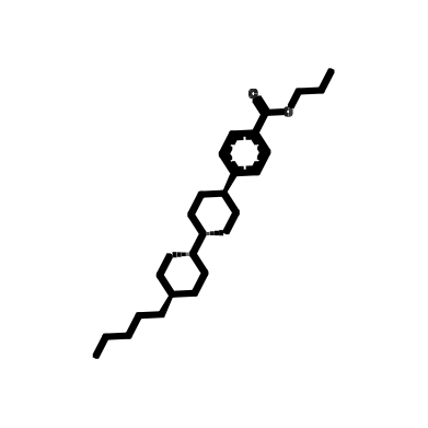 CCCCC[C@H]1CC[C@H]([C@H]2CC[C@H](c3ccc(C(=O)OCCC)cc3)CC2)CC1